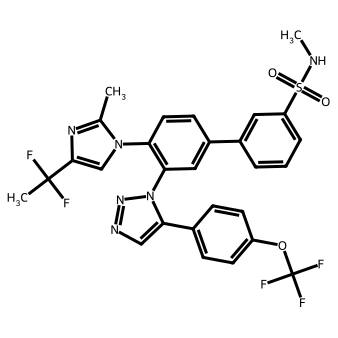 CNS(=O)(=O)c1cccc(-c2ccc(-n3cc(C(C)(F)F)nc3C)c(-n3nncc3-c3ccc(OC(F)(F)F)cc3)c2)c1